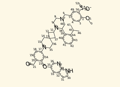 COc1ccc(CN2CCN(C3CC4(CCN(c5ccc(C=O)c(Oc6cnc7[nH]ccc7c6)c5)CC4)C3)C(c3ccccc3C(C)C)C2)cc1[S+](C)[O-]